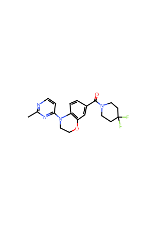 Cc1nccc(N2CCOc3cc(C(=O)N4CCC(F)(F)CC4)ccc32)n1